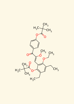 CCOc1c(CC)cc(CC)c(OC(=O)C(C)(C)C)c1C=C(OC)C(=O)c1ccc(OC(=O)C(C)(C)C)cc1